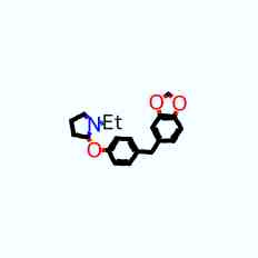 CCN1CCCC1Oc1ccc(Cc2ccc3c(c2)OCO3)cc1